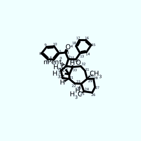 CCCCC[C@@]1(C(C(=O)c2ccccc2)C(=O)c2ccccc2)CC[C@H]2C[C@@H]3[C@H](C)CCC[C@@]3(C)CC[C@@H]1C2(C)C